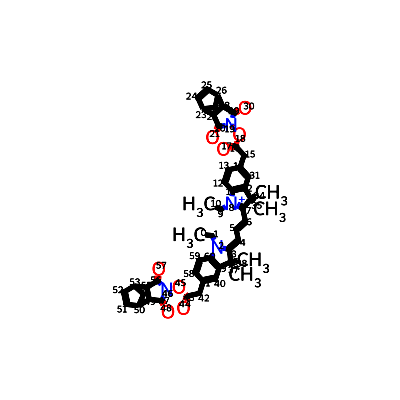 CCN1/C(=C\C=C\C2=[N+](CC)c3ccc(CC(=O)ON4C(=O)C5C6C=CC(C6)C5C4=O)cc3C2(C)C)C(C)(C)c2cc(CC(=O)ON3C(=O)C4C5C=CC(C5)C4C3=O)ccc21